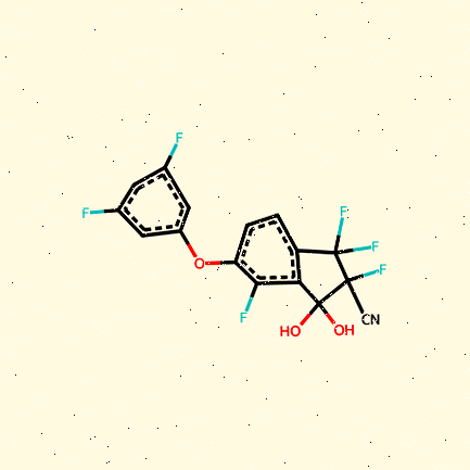 N#CC1(F)C(O)(O)c2c(ccc(Oc3cc(F)cc(F)c3)c2F)C1(F)F